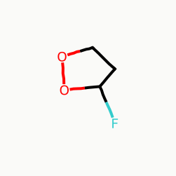 FC1CCOO1